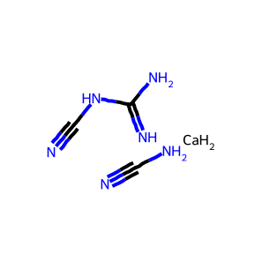 N#CN.N#CNC(=N)N.[CaH2]